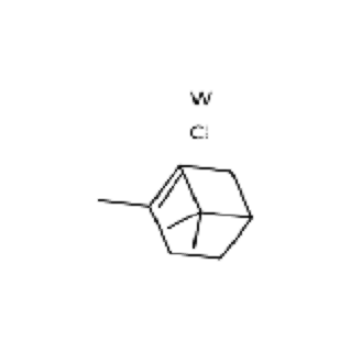 CC1=C2CC(CC1)C2(C)C.[C].[W]